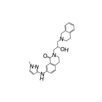 Cn1ccc(Nc2ccc3c(c2)C(=O)N(CC(O)CN2CCc4ccccc4C2)CC3)n1